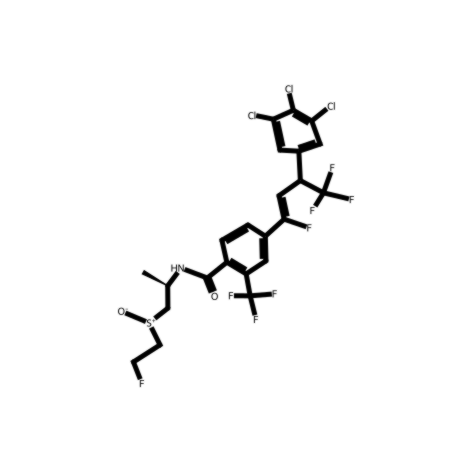 C[C@H](C[S+]([O-])CCF)NC(=O)c1ccc(/C(F)=C/C(c2cc(Cl)c(Cl)c(Cl)c2)C(F)(F)F)cc1C(F)(F)F